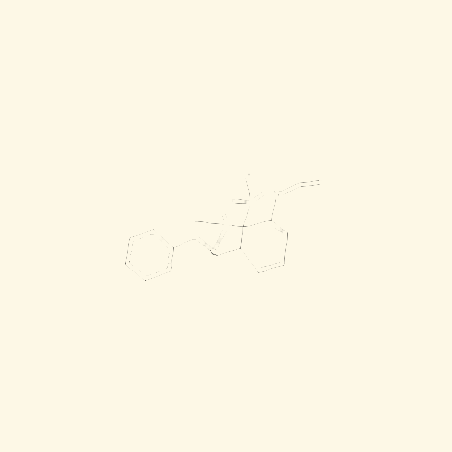 O=S(=O)(O)C1(S(=O)(=O)O)C(N=C=S)=CC=CC1C=Cc1ccccc1